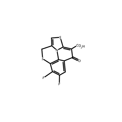 O=C(O)c1c(=O)c2cc(F)c(F)c3c2n2c(csc12)CS3